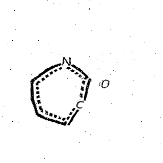 [O].c1ccncc1